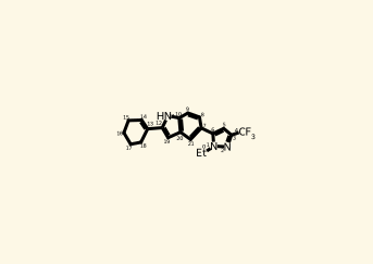 CCn1nc(C(F)(F)F)cc1-c1ccc2[nH]c(C3=CCCCC3)cc2c1